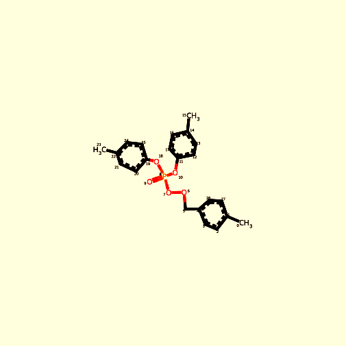 Cc1ccc(COOP(=O)(Oc2ccc(C)cc2)Oc2ccc(C)cc2)cc1